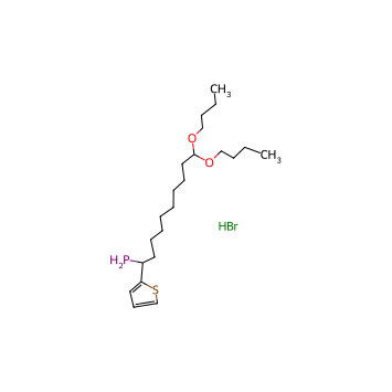 Br.CCCCOC(CCCCCCCCC(P)c1cccs1)OCCCC